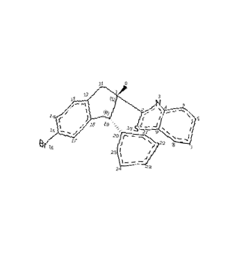 C[C@]1(c2nc3ccccc3s2)Cc2ccc(Br)cc2[C@H]1c1ccccc1